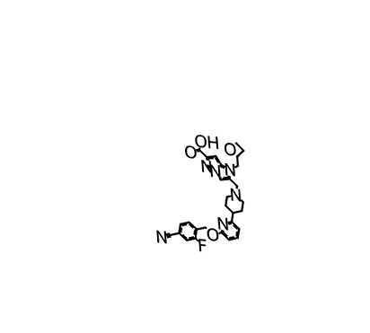 N#Cc1ccc(COc2cccc(C3CCN(Cc4cn5nc(C(=O)O)cc5n4CC4CCO4)CC3)n2)c(F)c1